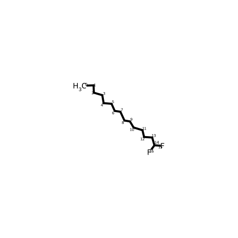 CCCCCCCCCCCCCCC(F)F